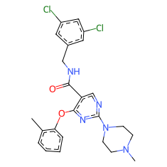 Cc1ccccc1Oc1nc(N2CCN(C)CC2)ncc1C(=O)NCc1cc(Cl)cc(Cl)c1